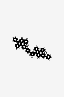 c1ccc(-c2c3ccccc3c(-c3ccc(-c4ccc(-c5cccc(-c6c7ccccc7c(-c7cccc8oc9c(-c%10ccccc%10)cccc9c78)c7ccccc67)c5)cc4)c4oc5ccccc5c34)c3ccccc23)cc1